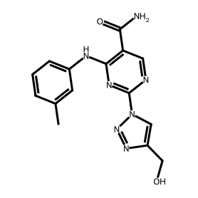 Cc1cccc(Nc2nc(-n3cc(CO)nn3)ncc2C(N)=O)c1